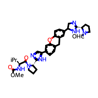 COC(=O)N[C@H](C(=O)N1CCC[C@H]1c1ncc(-c2ccc3c(c2)Oc2ccc(C4CN=C([C@@H]5CCCN5C=O)N4)cc2C3)[nH]1)C(C)C